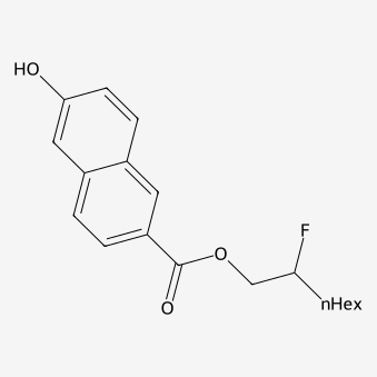 CCCCCCC(F)COC(=O)c1ccc2cc(O)ccc2c1